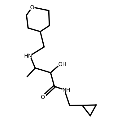 CC(NCC1CCOCC1)C(O)C(=O)NCC1CC1